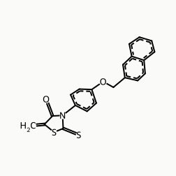 C=C1SC(=S)N(c2ccc(OCc3ccc4ccccc4c3)cc2)C1=O